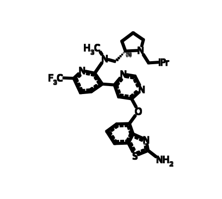 CC(C)CN1CCC[C@H]1CN(C)c1nc(C(F)(F)F)ccc1-c1cc(Oc2cccc3sc(N)nc23)ncn1